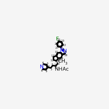 CC(=O)NC(CCc1ccncc1)C[C@H]1CCC2=Cc3c(cnn3-c3ccc(F)cc3)C[C@@]21C